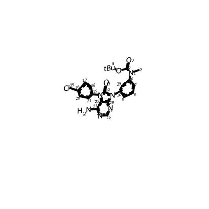 CN(C(=O)OC(C)(C)C)c1cccc(-n2c(=O)n(-c3ccc(Cl)cc3)c3c(N)ncnc32)c1